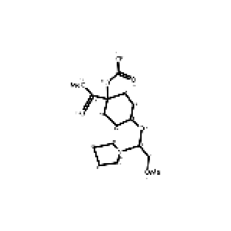 COCC(OC1CCC(OC(=O)C(F)(F)F)(C(=O)OC)CC1)N1CCCC1